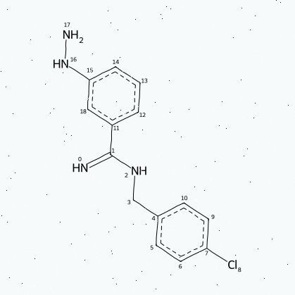 N=C(NCc1ccc(Cl)cc1)c1cccc(NN)c1